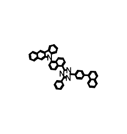 c1ccc(-c2nc(-c3ccc(-c4cccc5ccccc45)cc3)nc(-c3cccc4c(-n5c6ccccc6c6cc7ccccc7cc65)cccc34)n2)cc1